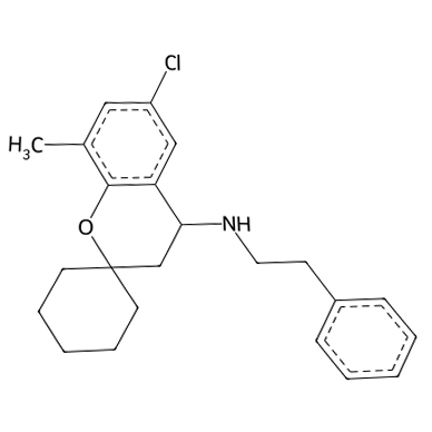 Cc1cc(Cl)cc2c1OC1(CCCCC1)CC2NCCc1ccccc1